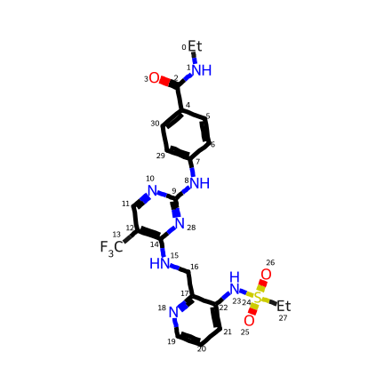 CCNC(=O)c1ccc(Nc2ncc(C(F)(F)F)c(NCc3ncccc3NS(=O)(=O)CC)n2)cc1